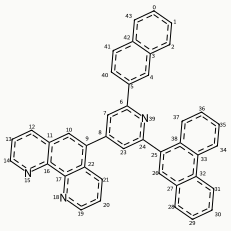 c1ccc2cc(-c3cc(-c4cc5cccnc5c5ncccc45)cc(-c4cc5ccccc5c5ccccc45)n3)ccc2c1